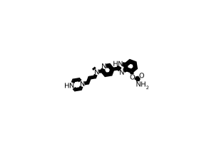 CN(CCCN1CCNCC1)c1ccc(-c2nc3c(OC(N)=O)cccc3[nH]2)cn1